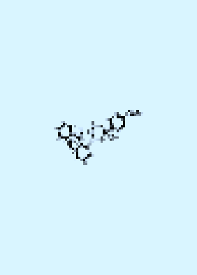 COc1ccc(C2(O)CCN(CC34CC(c5ccccc53)c3ccccc34)CC2)cn1